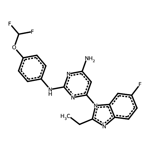 CCc1nc2ccc(F)cc2n1-c1cc(N)nc(Nc2ccc(OC(F)F)cc2)n1